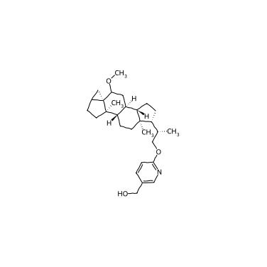 COC1C[C@H]2[C@@H]3CC[C@H]([C@H](C)COc4ccc(CO)cn4)[C@@]3(C)CC[C@@H]2[C@@]2(C)CCC3C[C@]312